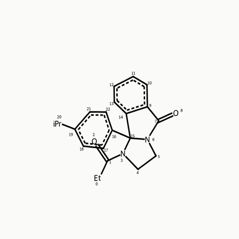 CCC(=O)N1CCN2C(=O)c3ccccc3C12c1ccc(C(C)C)cc1